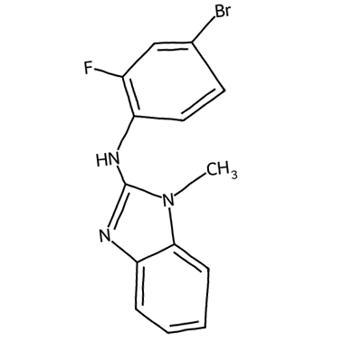 Cn1c(Nc2ccc(Br)cc2F)nc2ccccc21